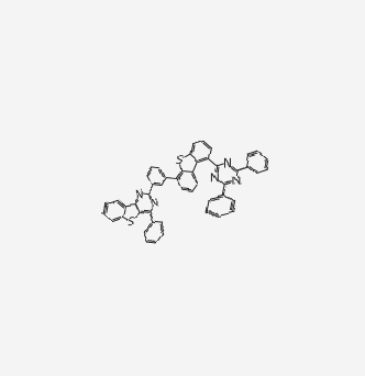 c1ccc(-c2nc(-c3ccccc3)nc(-c3cccc4sc5c(-c6cccc(-c7nc(-c8ccccc8)c8sc9ccccc9c8n7)c6)cccc5c34)n2)cc1